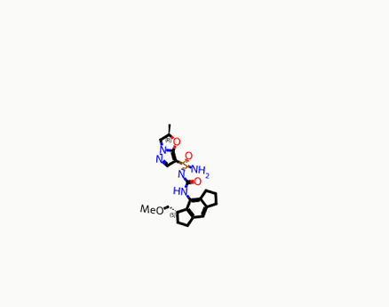 COC[C@H]1CCc2cc3c(c(NC(=O)N=S(N)(=O)c4cnn5c4O[C@H](C)C5)c21)CCC3